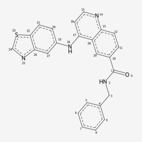 O=C(NCc1ccccc1)c1ccc2nccc(Nc3ccc4scnc4c3)c2c1